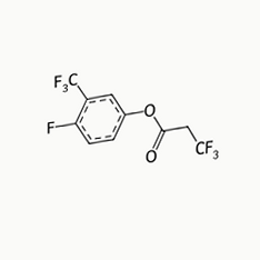 O=C(CC(F)(F)F)Oc1ccc(F)c(C(F)(F)F)c1